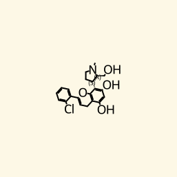 CN1CC[C@@H](c2c(O)cc(O)c3c2OC(c2ccccc2Cl)=CC3)[C@@H]1CO